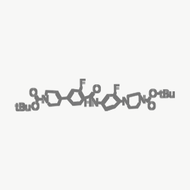 CC(C)(C)OC(=O)N1CC=C(c2ccc(C(=O)Nc3ccc(N4CCN(C(=O)OC(C)(C)C)CC4)c(F)c3)c(F)c2)CC1